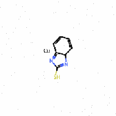 SC1=NC2C=CC=CC2=N1.[Cu]